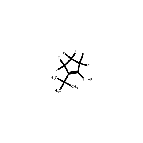 CC(C)(C)C1=C(F)C(F)(F)C(F)(F)C1(F)F.F